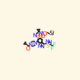 Cn1nc(-c2nnc(C(F)F)s2)c2cc(S(=O)(=O)N(COCC[Si](C)(C)C)C3(C#N)CC3)cc(N3CCN(C(=O)C4CC4)CC3)c21